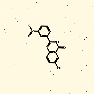 O=c1[nH]c(-c2cccc([N+](=O)[O-])c2)nc2ccc(O)cc12